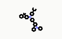 C=C/C(=C\C)c1ccc(N(C2=CC=C(c3ccc4c(c3)c3ccccc3n4-c3ccccc3)CC2)c2ccc3c(c2)C(C)(C)C2=C3CCC=C2)cc1